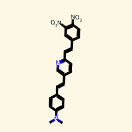 CN(C)c1ccc(C=Cc2ccc(C=Cc3ccc([N+](=O)[O-])c([N+](=O)[O-])c3)nc2)cc1